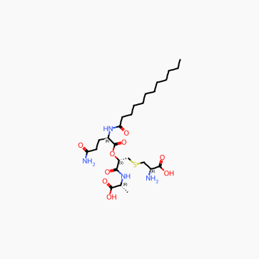 CCCCCCCCCCCC(=O)N[C@H](CCC(N)=O)C(=O)O[C@H](CSC[C@H](N)C(=O)O)C(=O)N[C@H](C)C(=O)O